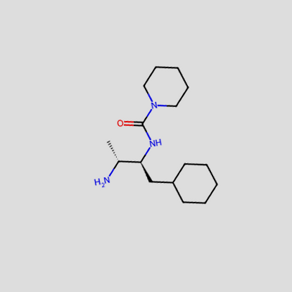 C[C@@H](N)[C@H](CC1CCCCC1)NC(=O)N1CCCCC1